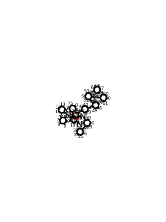 c1ccc([Si](c2ccccc2)(c2ccccc2)c2ccc(-n3c4ccccc4c4cccc(-n5c6ccccc6c6ccc(-c7cccc8c7-c7ccccc7[Si]8(c7ccccc7)c7ccccc7)cc65)c43)cc2)cc1